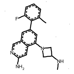 CNC1CN(c2cc(-c3c(C)cccc3F)cc3cnc(N)cc23)C1